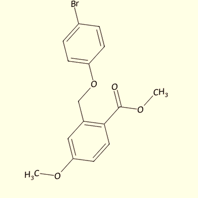 COC(=O)c1ccc(OC)cc1COc1ccc(Br)cc1